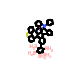 Bc1c(B)c(B)c(-c2ccc3c(-c4ccccc4-c4nc5ccccc5n4-c4ccccc4)c4ccccc4c(-c4cccc5sc6ccccc6c45)c3c2)c(B)c1B